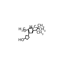 COc1ccc(C(C)C(C)(C)C)cc1C1CCC(O)C1